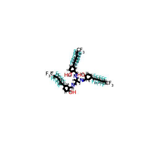 CC(C/N=C/c1cc(C(F)(F)C(F)(F)C(F)(F)C(F)(F)C(F)(F)C(F)(F)F)ccc1O)(C/N=C/c1cc(C(F)(F)C(F)(F)C(F)(F)C(F)(F)C(F)(F)C(F)(F)F)ccc1O)C/N=C/c1cc(C(F)(F)C(F)(F)C(F)(F)C(F)(F)C(F)(F)C(F)(F)F)ccc1O